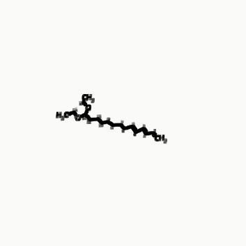 C=C/C=C/C=C/CCCCCCCC(OCC)OCC